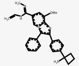 C=CN/C(=N\C)c1cc(OC)c2nc(-c3ccc(C4(N)CCC4)cc3)c(-c3ccccc3)n2c1